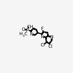 CP(C)(=O)c1ccc(-c2nc3c(Cl)c(Cl)cnc3cc2F)cn1